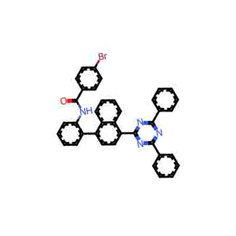 O=C(Nc1ccccc1-c1ccc(-c2nc(-c3ccccc3)nc(-c3ccccc3)n2)c2ccccc12)c1ccc(Br)cc1